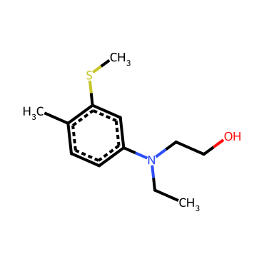 CCN(CCO)c1ccc(C)c(SC)c1